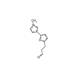 Cn1ccc(-c2ccc(CCC=O)o2)c1